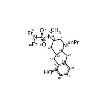 CCCN1CC(N(C)S(=O)(=O)N(CC)CC)CC2Cc3c(O)cccc3CC21